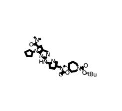 CN(C)C(=O)c1cc2cnc(Nc3ccc(N4C[C@@]5(CCCN(C(=O)OC(C)(C)C)CC5)OC4=O)cn3)nc2n1C1CCCC1